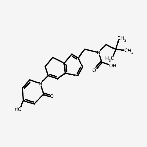 CC(C)(C)CN(Cc1ccc2c(c1)CCC(n1ccc(O)cc1=O)=C2)C(=O)O